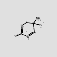 CC1=CCC(N)(Br)C=N1